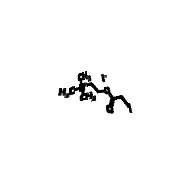 C[N+](C)(C)CCOC(=O)CI.[I-]